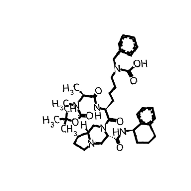 C[C@@H](C(=O)N[C@@H](CCCCN(Cc1ccccc1)C(=O)O)C(=O)N1C[C@H]2CCCN2C[C@H]1C(=O)N[C@@H]1CCCc2ccccc21)N(C)C(=O)OC(C)(C)C